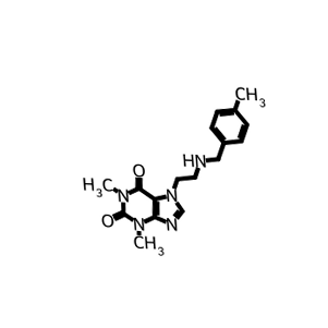 Cc1ccc(CNCCn2cnc3c2c(=O)n(C)c(=O)n3C)cc1